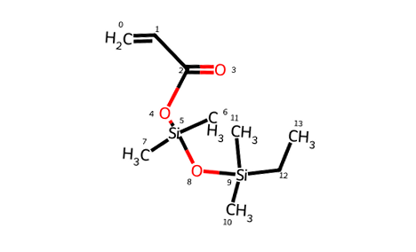 C=CC(=O)O[Si](C)(C)O[Si](C)(C)CC